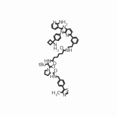 Cc1ncsc1-c1ccc(CNC(=O)[C@@H]2CCCN2C(=O)C(NC(=O)CCCCC(=O)NCCc2cccc(-c3ccc4nc(-c5cccnc5N)n(-c5ccc(C6(N)CCC6)cc5)c4n3)c2)C(C)(C)C)cc1